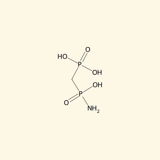 NP(=O)(O)CP(=O)(O)O